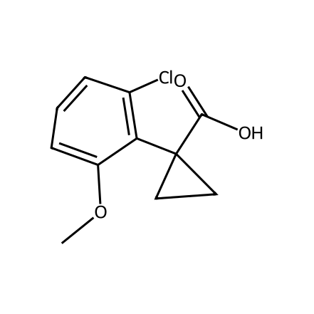 COc1cccc(Cl)c1C1(C(=O)O)CC1